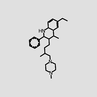 CCC1=CC2C(C=C1)NC(c1ccccc1)C(CCC(C)CN1CCN(C)CC1)C2C